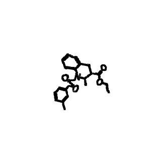 CCOC(=O)[C@@H]1Cc2ccccc2N(S(=O)(=O)c2cccc(C)c2)[C@@H]1C